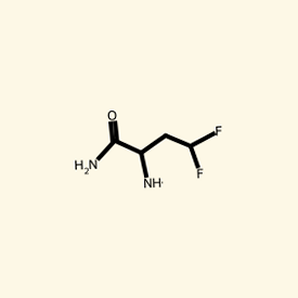 [NH]C(CC(F)F)C(N)=O